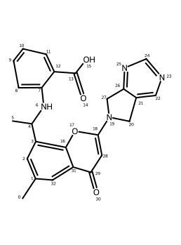 Cc1cc(C(C)Nc2ccccc2C(=O)O)c2oc(N3Cc4cncnc4C3)cc(=O)c2c1